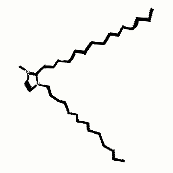 CCCCCCCCCCCCCCCC1N(C)C=CN1CCCCCCCCCCCCC